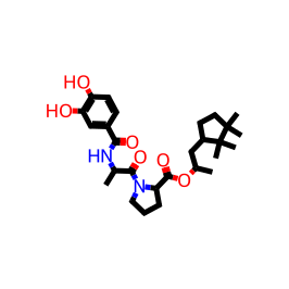 CC(CC1CCC(C)(C)C1(C)C)OC(=O)C1CCCN1C(=O)C(C)NC(=O)c1ccc(O)c(O)c1